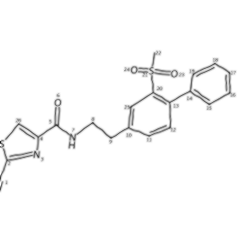 C#Cc1nc(C(=O)NCCc2ccc(-c3ccccc3)c(S(C)(=O)=O)c2)cs1